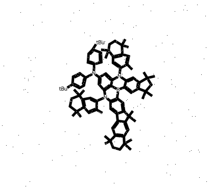 Cc1cc2c(cc1N1c3cc4c(cc3B3c5cc6c(cc5N(c5cc7c(cc5C)C(C)(C)CCC7(C)C)c5cc(N(c7ccc(C(C)(C)C)cc7)c7ccc(C(C)(C)C)cc7)cc1c53)C(C)(C)CC6(C)C)C(C)(C)c1cc3c(cc1-4)C(C)(C)CCC3(C)C)C(C)(C)CCC2(C)C